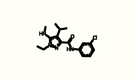 CCn1nc(C(=O)Nc2cccc(Cl)c2)c(C(C)C)c1NC